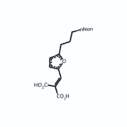 CCCCCCCCCCCCc1ccc(C=C(C(=O)O)C(=O)O)o1